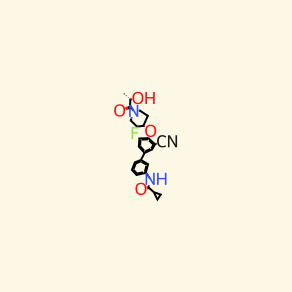 C[C@H](O)C(=O)N1CC[C@H](Oc2ccc(-c3cccc(NC(=O)C4CC4)c3)cc2C#N)[C@H](F)C1